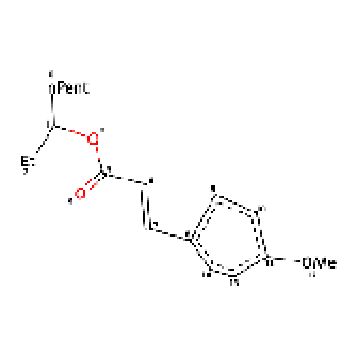 CCCCCC(CC)OC(=O)/C=C/c1ccc(OC)cc1